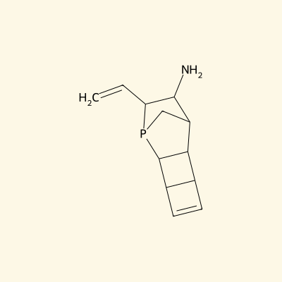 C=CC1C(N)C2CP1C1C3C=CC3C21